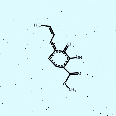 C=c1c(O)c(C(=O)OC)cc/c1=C/C=C\C